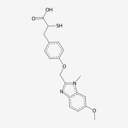 COc1ccc2nc(COc3ccc(CC(S)C(=O)O)cc3)n(C)c2c1